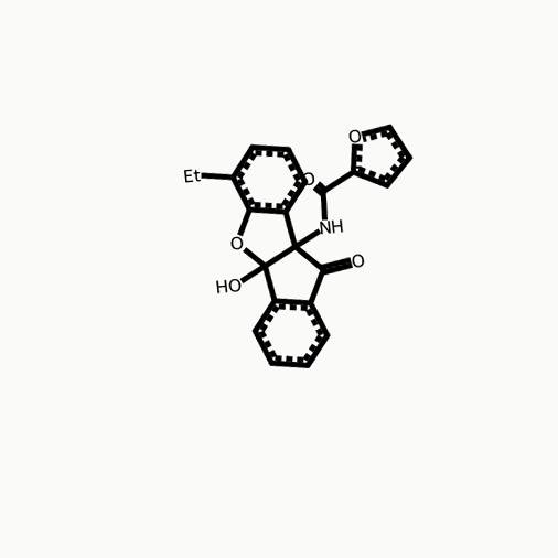 CCc1cccc2c1OC1(O)c3ccccc3C(=O)C21NC(=O)c1ccco1